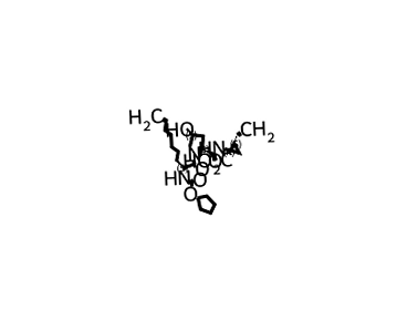 C=CCCCCC[C@H](NC(=O)OC1CCCC1)C(=O)N1C[C@@H](O)C[C@H]1C(=O)N[C@]1(C(=O)O)C[C@H]1C=C